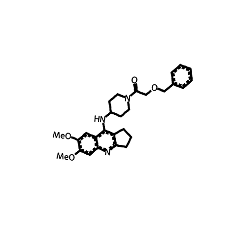 COc1cc2nc3c(c(NC4CCN(C(=O)COCc5ccccc5)CC4)c2cc1OC)CCC3